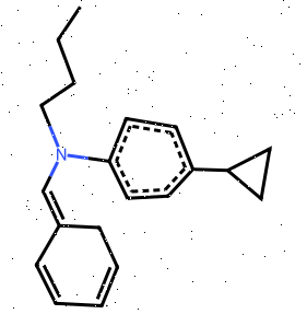 CCCCN(C=C1C=C[C]=CC1)c1ccc(C2CC2)cc1